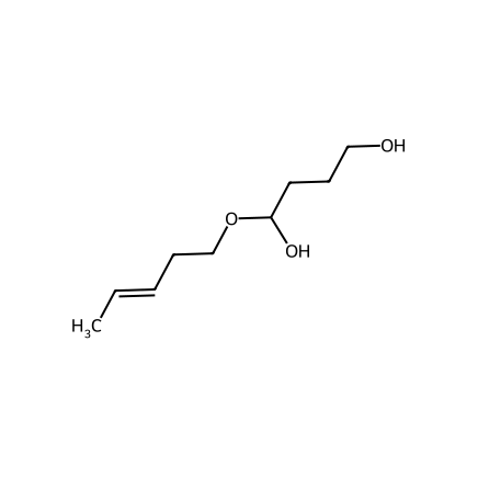 CC=CCCOC(O)CCCO